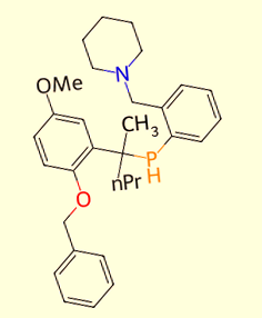 CCCC(C)(Pc1ccccc1CN1CCCCC1)c1cc(OC)ccc1OCc1ccccc1